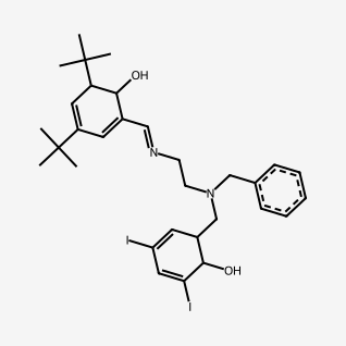 CC(C)(C)C1=CC(C(C)(C)C)C(O)C(/C=N/CCN(Cc2ccccc2)CC2C=C(I)C=C(I)C2O)=C1